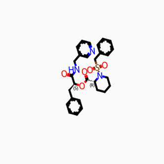 O=C(NCc1cccnc1)[C@H](Cc1ccccc1)OC(=O)[C@H]1CCCCN1S(=O)(=O)Cc1ccccc1